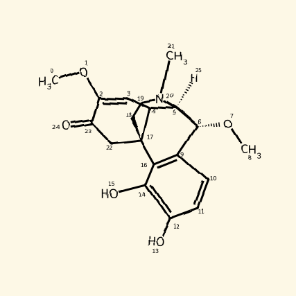 COC1=CC2[C@@H]3[C@H](OC)c4ccc(O)c(O)c4[C@]2(CCN3C)CC1=O